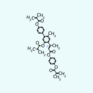 C=C(C)C(=O)Oc1ccc(OC(=O)/C=C(\C)c2cc(C)c(-c3ccc(OC(=O)C(=C)C)cc3)cc2OC(=O)C(=C)C)cc1